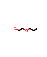 C[CH]COCC[O]